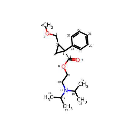 COC[C@@H]1C[C@]1(C(=O)OCCN(C(C)C)C(C)C)c1ccccc1